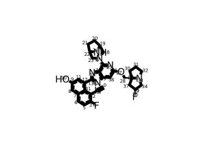 C#Cc1c(F)ccc2cc(O)cc(-c3nc4c(N5CC6CCC(C5)N6)nc(OC[C@@]56CCCN5C[C@H](F)C6)cc4[nH]3)c12